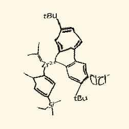 C[C](C)=[Zr+2]([C]1=CC([Si](C)(C)C)=CC1C)[CH]1c2cc(C(C)(C)C)ccc2-c2ccc(C(C)(C)C)cc21.[Cl-].[Cl-]